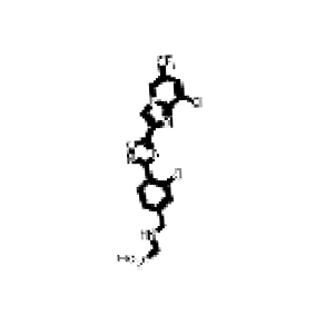 O=C(O)CNCc1ccc(-c2noc(-c3cn4cc(C(F)(F)F)cc(Cl)c4n3)n2)c(Cl)c1